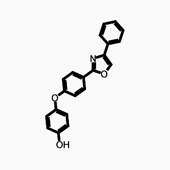 Oc1ccc(Oc2ccc(-c3nc(-c4ccccc4)co3)cc2)cc1